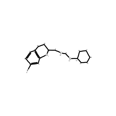 Fc1ccc2c(c1)OC(CCCOC1CCCCC1)CC2